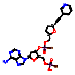 Nc1ncnc2c1ncn2[C@H]1C[C@H](OP(=O)(S)OC[C@@H]2CC[C@H](C#Cc3cccnc3)O2)[C@@H](COP(=O)(O)S)O1